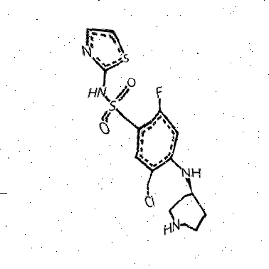 O=S(=O)(Nc1nccs1)c1cc(Cl)c(N[C@H]2CCNC2)cc1F